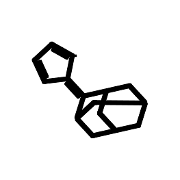 [C]1=CC=CC1=C1C2CC3CC(C2)CC1C3